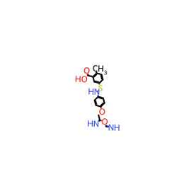 Cc1ccc(SNc2ccc(OCC(=N)OC=N)cc2)cc1C(=O)O